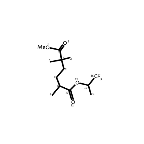 COC(=O)C(C)(C)CCC(C)C(=O)OC(C)C(F)(F)F